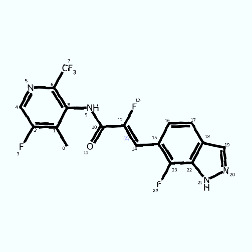 Cc1c(F)cnc(C(F)(F)F)c1NC(=O)/C(F)=C/c1ccc2cn[nH]c2c1F